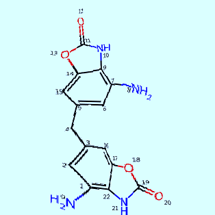 Nc1cc(Cc2cc(N)c3[nH]c(=O)oc3c2)cc2oc(=O)[nH]c12